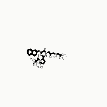 COC(C)(C)C(=O)N1CCCC1C(=O)N[C@H](Cc1ccc2ccccc2c1)C(=O)NCC(O)CNCC(C)C.Cl